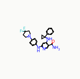 NC(=O)c1cnc(Nc2ccc(N3CCC(F)(F)CC3)cc2)cc1NC1(c2ccccc2)CC1